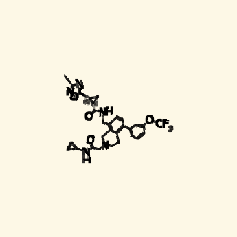 Cc1noc([C@H]2C[C@@H]2C(=O)NCc2ccc(-c3cccc(OC(F)(F)F)c3)c3c2CN(CC(=O)NC2CC2)CC3)n1